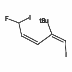 CC(C)(C)C(/C=C\C(F)I)=C/I